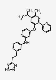 Cc1nc(-c2ccccn2)c(Oc2ccnc(Nc3cccc(CCc4nn[nH]n4)c3)c2)cc1C(C)C